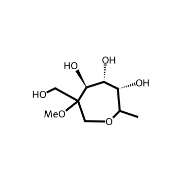 COC1(CO)COC(C)[C@@H](O)[C@@H](O)[C@@H]1O